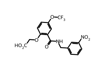 O=C(O)COc1ccc(OC(F)(F)F)cc1C(=O)NCc1cccc([N+](=O)[O-])c1